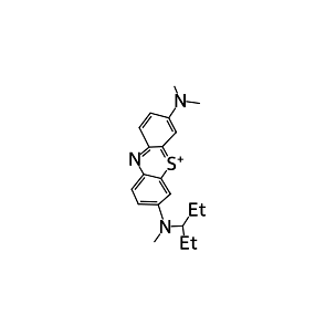 CCC(CC)N(C)c1ccc2nc3ccc(N(C)C)cc3[s+]c2c1